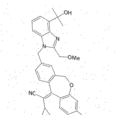 COCc1nc2c(C(C)(C)O)cccc2n1Cc1ccc2c(c1)COc1cc(F)ccc1C2=C(C#N)C1CC1